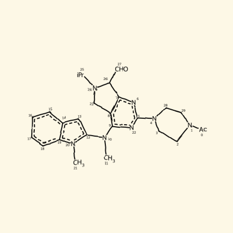 CC(=O)N1CCN(c2nc3c(c(N(C)c4cc5ccccc5n4C)n2)CN(C(C)C)C3C=O)CC1